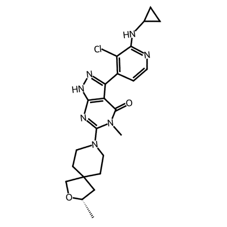 C[C@H]1CC2(CCN(c3nc4[nH]nc(-c5ccnc(NC6CC6)c5Cl)c4c(=O)n3C)CC2)CO1